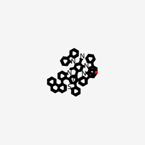 N#Cc1c(Cn2c3cccc(-c4cccc5ccc6ccccc6c45)c3c3c4sc5ccccc5c4ccc32)c(-n2c3ccccc3c3ccccc32)c(C#N)c(-n2c3ccccc3c3ccccc32)c1-n1c2ccccc2c2ccccc21